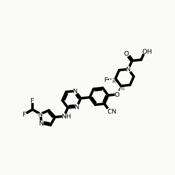 N#Cc1cc(-c2nccc(Nc3cnn(C(F)F)c3)n2)ccc1O[C@H]1CCN(C(=O)CO)C[C@H]1F